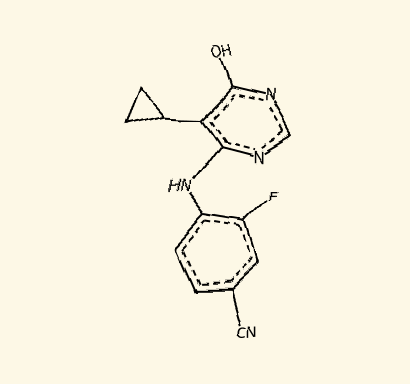 N#Cc1ccc(Nc2ncnc(O)c2C2CC2)c(F)c1